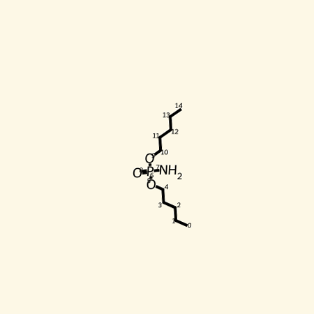 CCCCCOP(N)(=O)OCCCCC